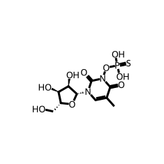 Cc1cn([C@@H]2O[C@H](CO)[C@@H](O)[C@H]2O)c(=O)n(OP(O)(O)=S)c1=O